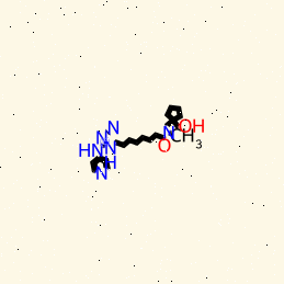 CN(CC1(CO)CCCC1)C(=O)CCCCCCCN/C(=N\C#N)Nc1ccncc1